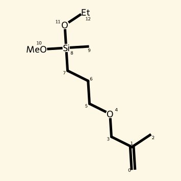 C=C(C)COCCC[Si](C)(OC)OCC